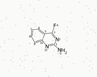 Nc1nc(F)c2ccccc2n1